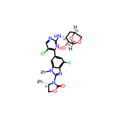 CC(C)[C@H]1COC(=O)N1c1nc2c(F)cc(-c3nc(N[C@@H]4C[C@H]5CO[C@H](O5)[C@H]4O)ncc3Cl)cc2n1C(C)C